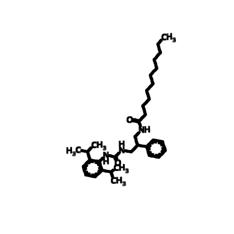 CCCCCCCCCCCC(=O)NCC(CNC(=O)Nc1c(C(C)C)cccc1C(C)C)c1ccccc1